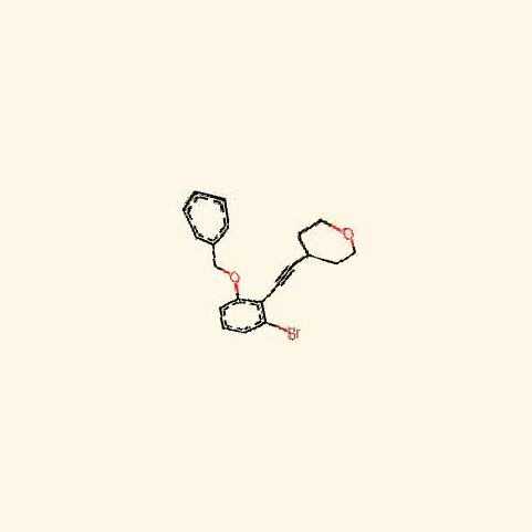 Brc1cccc(OCc2ccccc2)c1C#CC1CCOCC1